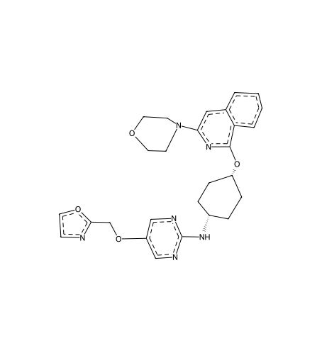 c1ccc2c(O[C@H]3CC[C@@H](Nc4ncc(OCc5ncco5)cn4)CC3)nc(N3CCOCC3)cc2c1